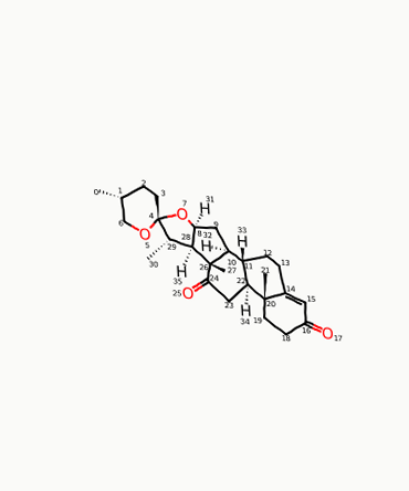 C[C@@H]1CC[C@@]2(OC1)O[C@H]1C[C@H]3[C@@H]4CCC5=CC(=O)CC[C@]5(C)[C@H]4CC(=O)[C@]3(C)[C@H]1[C@@H]2C